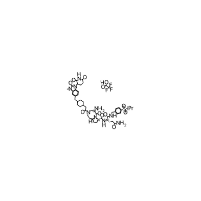 CC(C)S(=O)(=O)c1ccc(CNC(=O)[C@H](CCC(N)=O)NC(=O)[C@@H]2CC[C@@H]3CCN(C(=O)CC4CCC(Cc5ccc6c(c5)n(C)c(=O)n6C5CCC(=O)NC5=O)CC4)C[C@H](N)C(=O)N32)cc1.O=C(O)C(F)(F)F